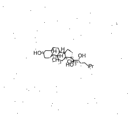 CC(C)CC[C@H](O)[C@@H](O)[C@H]1CC[C@H]2[C@@H]3CC=C4C[C@@H](O)CC[C@]4(C)[C@H]3CC[C@]12C